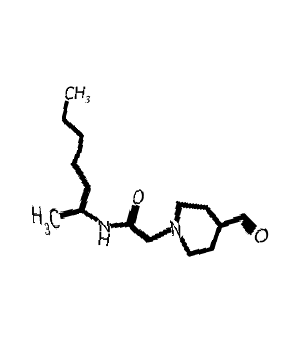 CCCCCC(C)NC(=O)CN1CCC(C=O)CC1